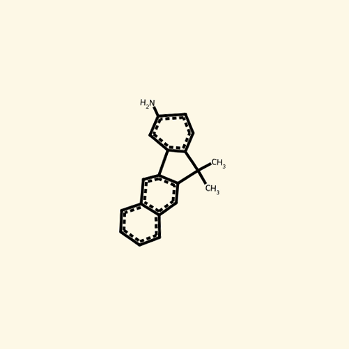 CC1(C)c2ccc(N)cc2-c2cc3ccccc3cc21